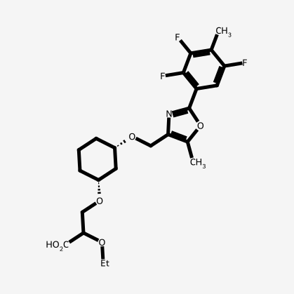 CCOC(CO[C@@H]1CCC[C@H](OCc2nc(-c3cc(F)c(C)c(F)c3F)oc2C)C1)C(=O)O